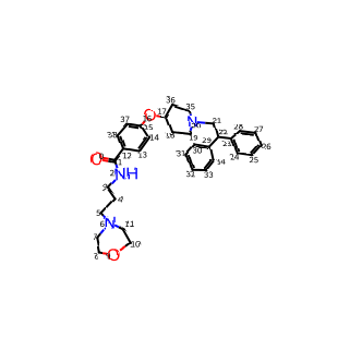 O=C(NCCCN1CCOCC1)c1ccc(OC2CCN(CC(c3ccccc3)c3ccccc3)CC2)cc1